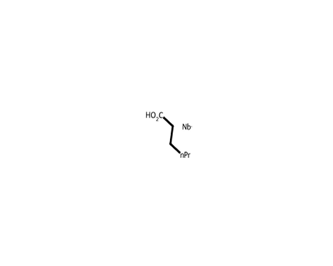 CCCCCC(=O)O.[Nb]